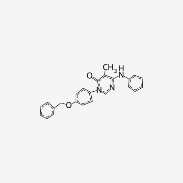 Cc1c(Nc2ccccc2)ncn(-c2ccc(OCc3ccccc3)cc2)c1=O